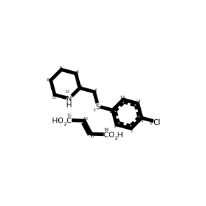 Clc1ccc(SCC2CCCCN2)cc1.O=C(O)C=CC(=O)O